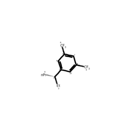 CCC[C@@H](CC)c1cc(C(F)(F)F)cc(C(F)(F)F)c1